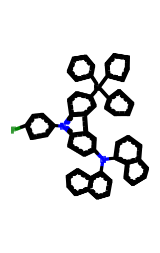 Fc1ccc(-n2c3ccc(N(c4cccc5ccccc45)c4cccc5ccccc45)cc3c3cc([Si](c4ccccc4)(c4ccccc4)c4ccccc4)ccc32)cc1